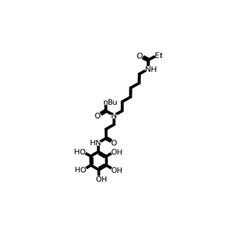 CCCCC(=O)N(CCCCCCNC(=O)CC)CCC(=O)Nc1c(O)c(O)c(O)c(O)c1O